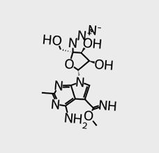 COC(=N)c1cn([C@@H]2O[C@@](CO)(N=[N+]=[N-])[C@@H](O)[C@H]2O)c2nc(C)nc(N)c12